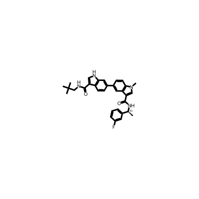 C[C@H](NC(=O)c1cn(C)c2ccc(-c3ccc4c(C(=O)NCC(C)(C)C)c[nH]c4c3)cc12)c1cccc(F)c1